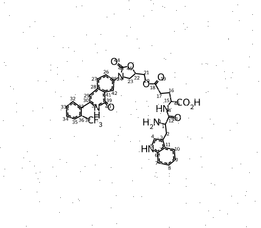 NC(Cc1c[nH]c2ccccc12)C(=O)NC(CCC(=O)OCC1CN(c2ccc3cc(-c4ccccc4C(F)(F)F)[nH]c(=O)c3c2)C(=O)O1)C(=O)O